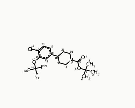 CC(C)(C)OC(=O)N1CCC(c2ccc(Cl)c(OC(F)(F)F)c2)CC1